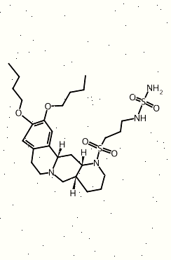 CCCCOc1cc2c(cc1OCCCC)[C@@H]1C[C@H]3[C@H](CCCN3S(=O)(=O)CCCNS(N)(=O)=O)CN1CC2